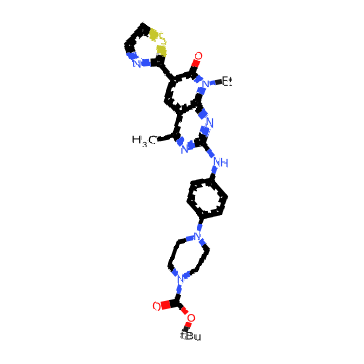 CCn1c(=O)c(-c2nccs2)cc2c(C)nc(Nc3ccc(N4CCN(C(=O)OC(C)(C)C)CC4)cc3)nc21